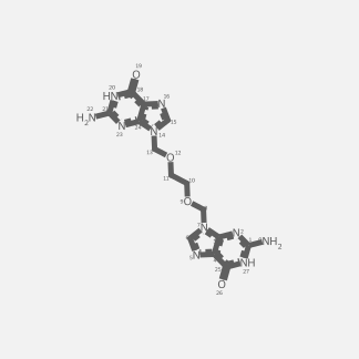 Nc1nc2c(ncn2COCCOCn2cnc3c(=O)[nH]c(N)nc32)c(=O)[nH]1